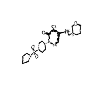 O=c1c(Cl)c(NC[C@@H]2CCCOC2)cnn1[C@H]1CC[C@H](S(=O)(=O)N2CCCC2)CC1